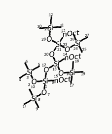 CCCCCCCC[Si](O[Si](C)(C)C)(O[Si](C)(C)C)O[Si](CCCCCCCC)(O[Si](C)(C)C)O[Si](CCCCCCCC)(O[Si](C)(C)C)O[Si](C)(C)C